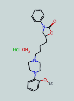 CCOc1ccccc1N1CCN(CCCCC2CN(c3ccccc3)C(=O)O2)CC1.Cl.O